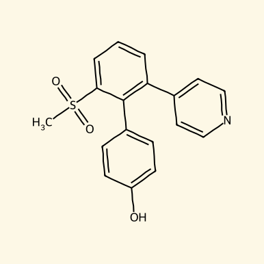 CS(=O)(=O)c1cccc(-c2ccncc2)c1-c1ccc(O)cc1